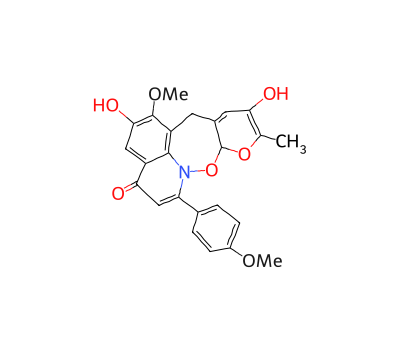 COc1ccc(-c2cc(=O)c3cc(O)c(OC)c4c3n2OC2OC(C)=C(O)C=C2C4)cc1